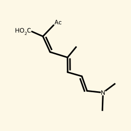 CC(=O)\C(=C/C(C)=C/C=C/N(C)C)C(=O)O